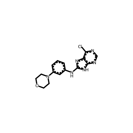 Clc1ncnc2[nH]c(Nc3cccc(N4CCOCC4)c3)nc12